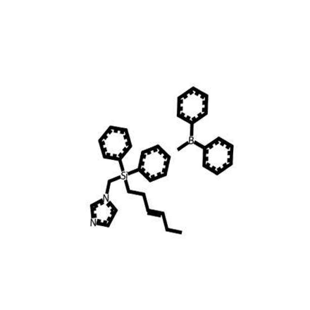 CB(c1ccccc1)c1ccccc1.CCC=CCC[Si](Cn1ccnc1)(c1ccccc1)c1ccccc1